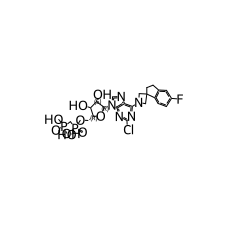 O=P(O)(O)CP(=O)(O)OC[C@H]1O[C@@H](n2cnc3c(N4CC5(CCc6cc(F)ccc65)C4)nc(Cl)nc32)[C@@H](O)C1O